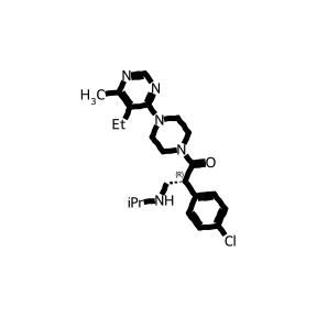 CCc1c(C)ncnc1N1CCN(C(=O)[C@@H](CNC(C)C)c2ccc(Cl)cc2)CC1